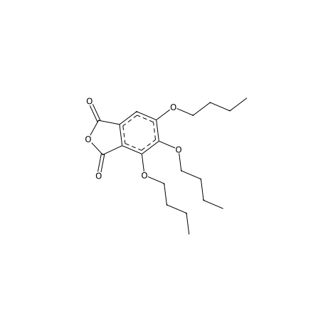 CCCCOc1cc2c(c(OCCCC)c1OCCCC)C(=O)OC2=O